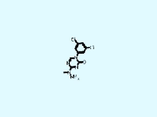 CN(N)c1ncn(-c2cc(Cl)cc(Cl)c2)c(=O)n1